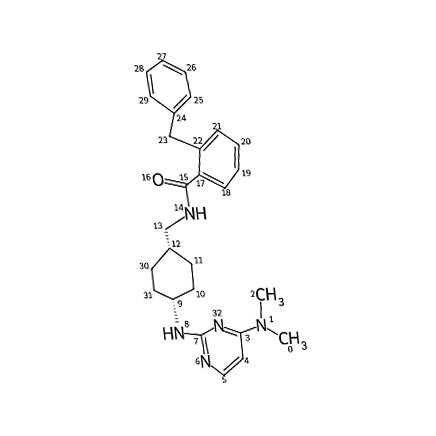 CN(C)c1ccnc(N[C@H]2CC[C@@H](CNC(=O)c3ccccc3Cc3ccccc3)CC2)n1